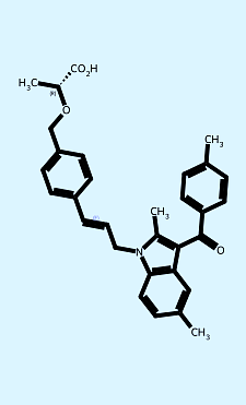 Cc1ccc(C(=O)c2c(C)n(C/C=C/c3ccc(CO[C@H](C)C(=O)O)cc3)c3ccc(C)cc23)cc1